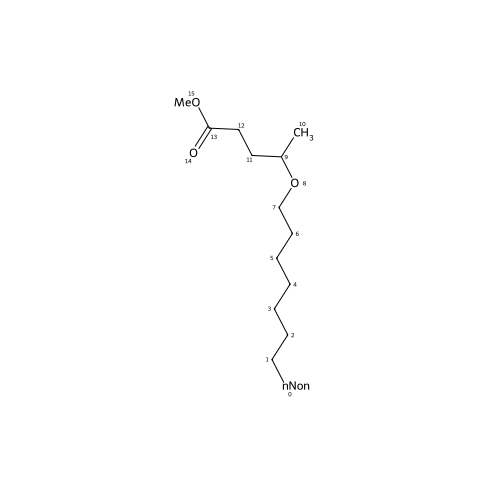 CCCCCCCCCCCCCCCCOC(C)CCC(=O)OC